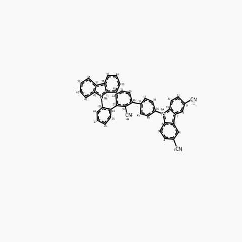 N#Cc1ccc2c(c1)c1cc(C#N)ccc1n2-c1ccc(-c2cccc(-c3ccccc3-n3c4ccccc4c4ccccc43)c2C#N)cc1